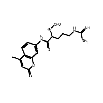 Cc1cc(=O)oc2cc(NC(=O)C(CCCNC(=N)N)NC=O)ccc12